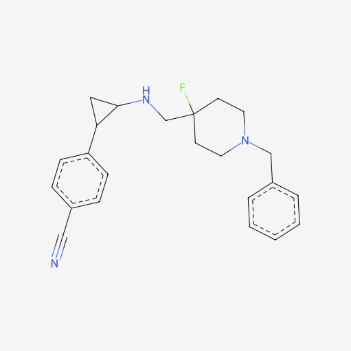 N#Cc1ccc(C2CC2NCC2(F)CCN(Cc3ccccc3)CC2)cc1